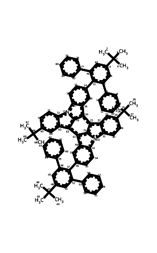 CC(C)(C)c1cc(-c2ccccc2)c(-c2ccc3c(c2)c2c4c5cc(C(C)(C)C)ccc5n5c6ccc(-c7c(-c8ccccc8)cc(C(C)(C)C)cc7-c7ccccc7)cc6c(c6c7cc(C(C)(C)C)ccc7n3c26)c45)c(-c2ccccc2)c1